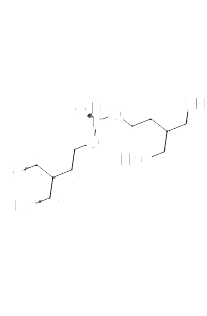 CCC(CC)CCO[PH](=O)OCCC(CC)CC